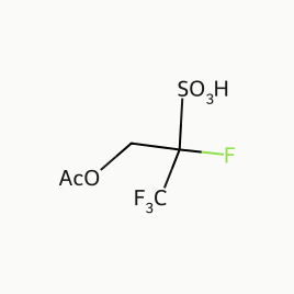 CC(=O)OCC(F)(C(F)(F)F)S(=O)(=O)O